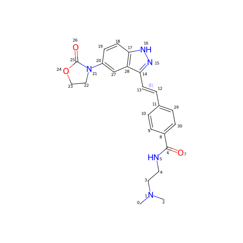 CN(C)CCNC(=O)c1ccc(/C=C/c2n[nH]c3ccc(N4CCOC4=O)cc23)cc1